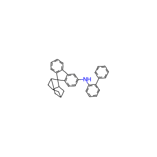 c1ccc(-c2ccccc2Nc2ccc3c(c2)-c2ccccc2C32C3CC4CC(C3)C2C4)cc1